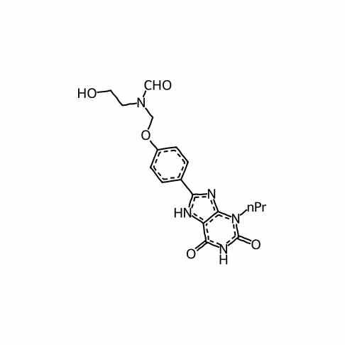 CCCn1c(=O)[nH]c(=O)c2[nH]c(-c3ccc(OCN(C=O)CCO)cc3)nc21